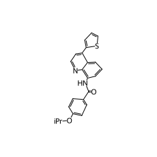 CC(C)Oc1ccc(C(=O)Nc2cccc3c(-c4cccs4)ccnc23)cc1